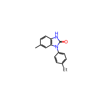 CCc1ccc(-n2c(=O)[nH]c3ccc(C)cc32)cc1